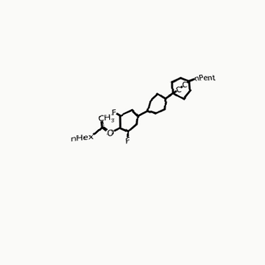 CCCCCCC(C)OC1C(F)CC(C2CCC(C34CCC(CCCCC)(CC3)CC4)CC2)CC1F